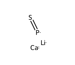 [Ca].[Li].[P]=S